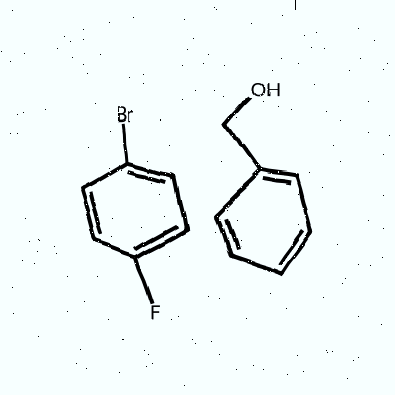 Fc1ccc(Br)cc1.OCc1ccccc1